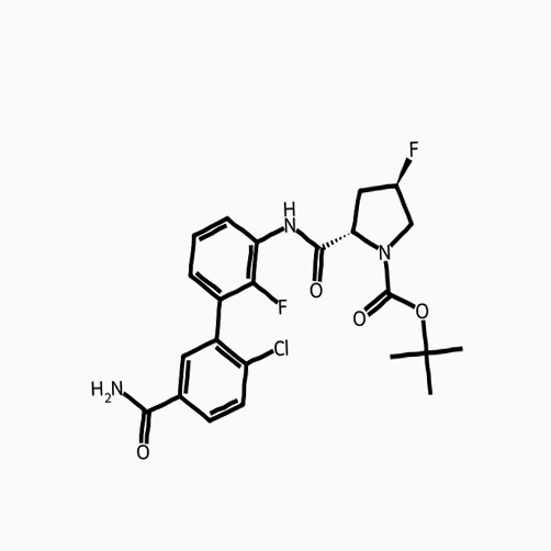 CC(C)(C)OC(=O)N1C[C@H](F)C[C@H]1C(=O)Nc1cccc(-c2cc(C(N)=O)ccc2Cl)c1F